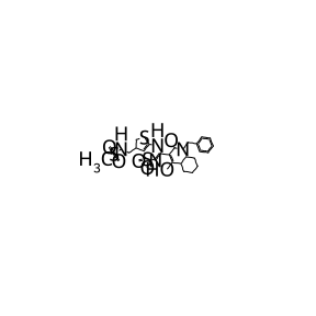 CS(=O)(=O)NCC1CSC2=C1S(=O)(=O)N=C(C1=C(O)C3CCCCC3N(Cc3ccccc3)C1=O)N2